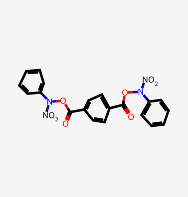 O=C(ON(c1ccccc1)[N+](=O)[O-])c1ccc(C(=O)ON(c2ccccc2)[N+](=O)[O-])cc1